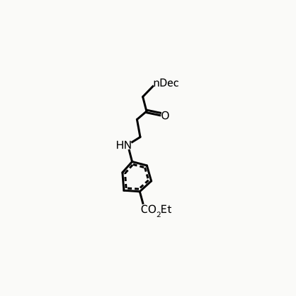 CCCCCCCCCCCC(=O)CCNc1ccc(C(=O)OCC)cc1